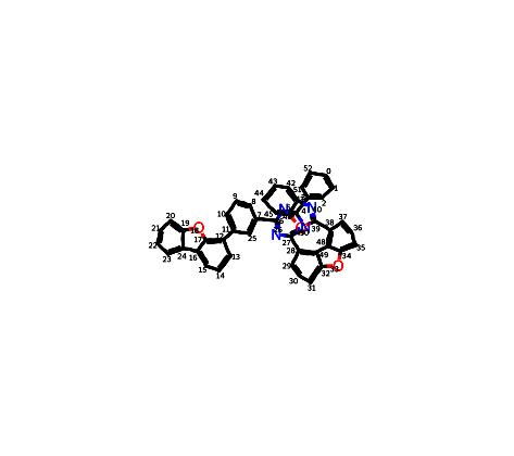 c1ccc(-c2nc(-c3cccc(-c4cccc5c4oc4ccccc45)c3)nc(-c3cccc4oc5cccc(-c6nc7ccccc7o6)c5c34)n2)cc1